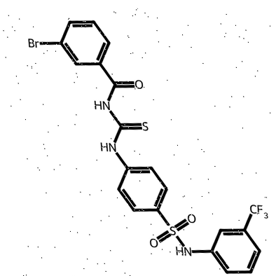 O=C(NC(=S)Nc1ccc(S(=O)(=O)Nc2cccc(C(F)(F)F)c2)cc1)c1cccc(Br)c1